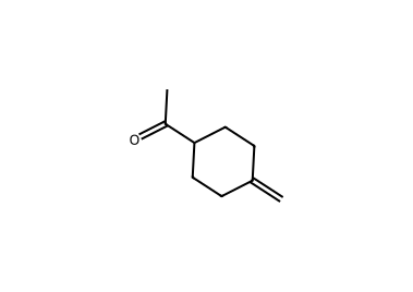 C=C1CCC(C(C)=O)CC1